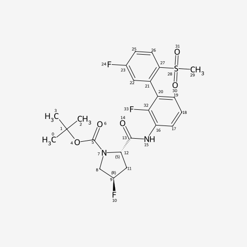 CC(C)(C)OC(=O)N1C[C@H](F)C[C@H]1C(=O)Nc1cccc(-c2cc(F)ccc2S(C)(=O)=O)c1F